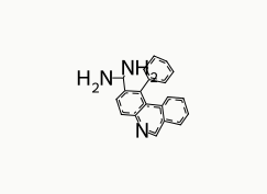 NC(N)c1ccc2ncc3ccccc3c2c1-c1ccccc1